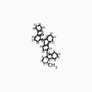 CC1CC=Cc2c1c1ccccc1n2-c1ccc2c(c1)c1ccccc1n2-c1cccc2c1sc1ccccc12